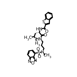 CC(C)C[C@H](NC(=O)c1cc2ccccc2s1)C(=O)NCCCN(C)S(=O)(=O)c1cccc2nonc12